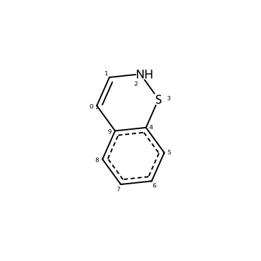 [C]1=CNSc2ccccc21